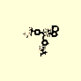 NC(=O)c1ccc(C(O)C(Cc2cccc(OC(F)(F)C(F)F)c2)NC(=O)c2cccc3c2C=CCCC3)cc1